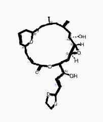 C=C1C[C@H](C)C[C@@H]2CC=C[C@@H](C/C=C\C(=O)OC([C@@H](O)/C=C/C3OCCO3)C[C@@H]3O[C@H]3[C@@H](O)C1)O2